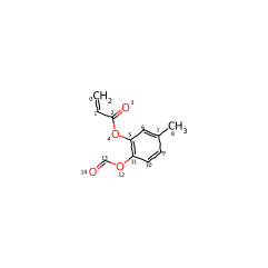 C=CC(=O)Oc1cc(C)ccc1OC=O